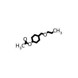 CCCOCC1CCC(OC(C)=O)CC1